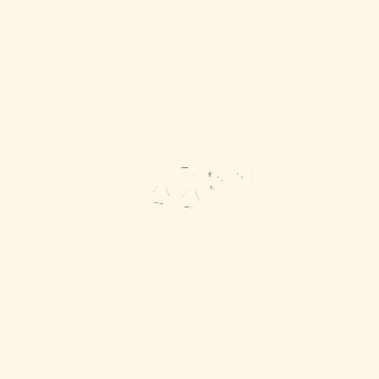 Cc1cc(-c2cccc(OC(F)(F)F)c2)c2c(c1)C(S(=O)(=O)N1CCNCC1)C(C)(C(=O)O)C2